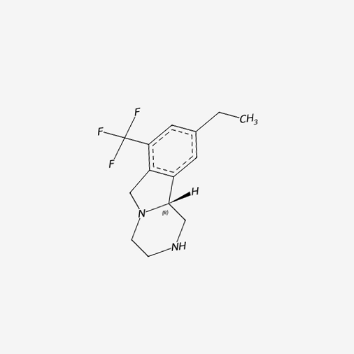 CCc1cc2c(c(C(F)(F)F)c1)CN1CCNC[C@@H]21